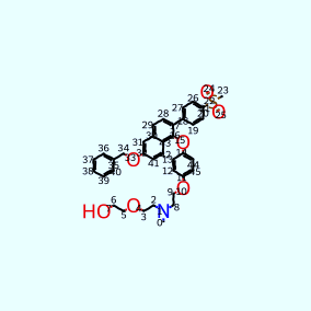 CN(CCOCCO)CCOc1ccc(Oc2c(-c3ccc(S(C)(=O)=O)cc3)ccc3cc(OCc4ccccc4)ccc23)cc1